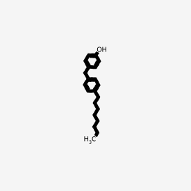 CCCCCCCCc1ccc(Cc2ccc(O)cc2)cc1